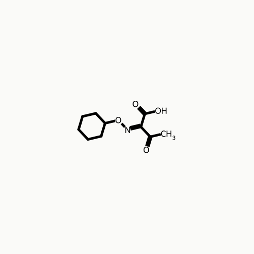 CC(=O)C(=NOC1CCCCC1)C(=O)O